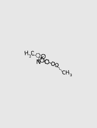 CCCCCCOc1ccc(-c2ccc(OC(=O)C3(C#N)CCCC(CC)C3)cc2)cc1